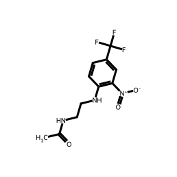 CC(=O)NCCNc1ccc(C(F)(F)F)cc1[N+](=O)[O-]